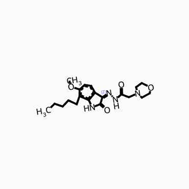 CCCCCc1c(OC)ccc2c1NC(=O)/C2=N\NC(=O)CN1CCOCC1